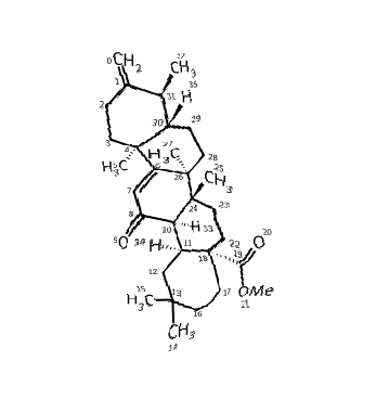 C=C1CC[C@]2(C)C3=CC(=O)[C@@H]4[C@@H]5CC(C)(C)CC[C@]5(C(=O)OC)CC[C@@]4(C)[C@]3(C)CC[C@H]2[C@@H]1C